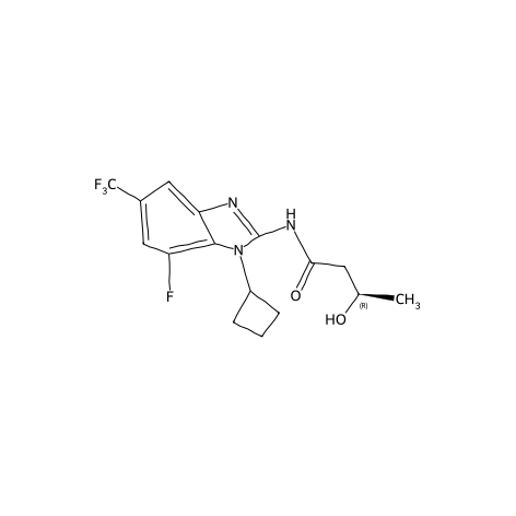 C[C@@H](O)CC(=O)Nc1nc2cc(C(F)(F)F)cc(F)c2n1C1CCC1